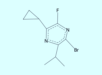 CC(C)c1nc(C2CC2)c(F)nc1Br